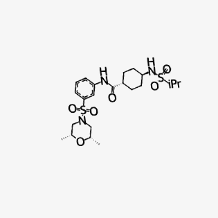 CC(C)S(=O)(=O)N[C@H]1CC[C@H](C(=O)Nc2cccc(S(=O)(=O)N3C[C@@H](C)O[C@@H](C)C3)c2)CC1